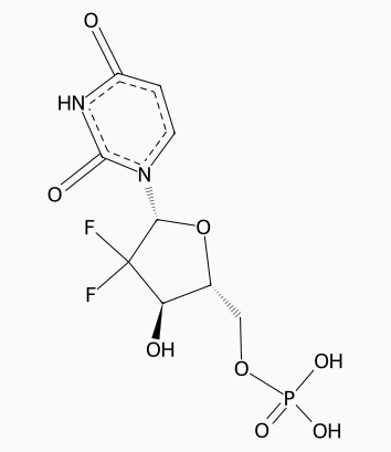 O=c1ccn([C@@H]2O[C@H](COP(=O)(O)O)[C@@H](O)C2(F)F)c(=O)[nH]1